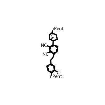 CCCCCc1ccc(CCc2ccc(C34CCC(CCCCC)(CC3)CC4)c(C#N)c2C#N)cc1Cl